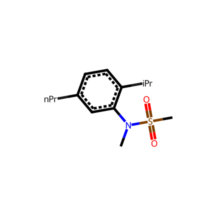 CCCc1ccc(C(C)C)c(N(C)S(C)(=O)=O)c1